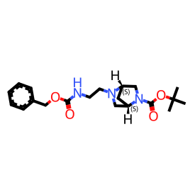 CC(C)(C)OC(=O)N1C[C@@H]2C[C@H]1CN2CCNC(=O)OCc1ccccc1